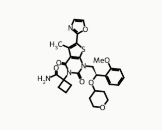 COc1ccccc1[C@H](Cn1c(=O)n(C2(C(N)=O)CCC2)c(=O)c2c(C)c(-c3ncco3)sc21)OC1CCOCC1